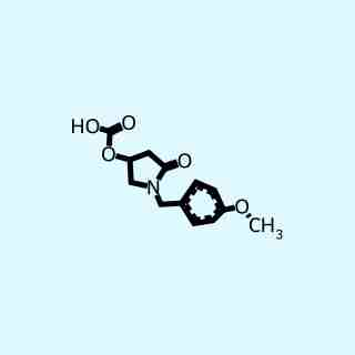 COc1ccc(CN2CC(OC(=O)O)CC2=O)cc1